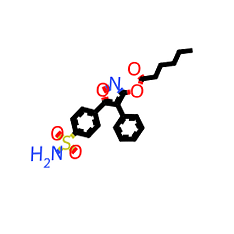 CCCCCC(=O)Oc1noc(-c2ccc(S(N)(=O)=O)cc2)c1-c1ccccc1